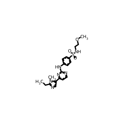 CCc1ncc(-c2ccnc(Nc3ccc(S(=O)(=O)NCCOC)cc3)n2)n1C